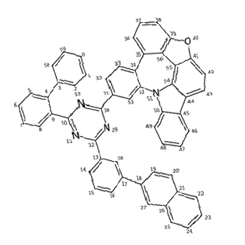 c1ccc(-c2ccccc2-c2nc(-c3cccc(-c4ccc5ccccc5c4)c3)nc(-c3ccc4c5cccc6oc7ccc8c9ccccc9n(c4c3)c8c7c65)n2)cc1